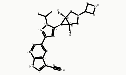 CC(C)n1nc(-c2cnc3[nH]cc(C#N)c3c2)cc1[C@H]1[C@@H]2CN(C3COC3)C[C@@H]21